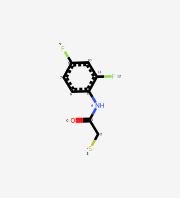 O=C(C[S])Nc1ccc(F)cc1F